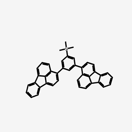 C[Si](C)(C)c1cc(-c2ccc3c4c(cccc24)-c2ccccc2-3)cc(-c2ccc3c4c(cccc24)-c2ccccc2-3)c1